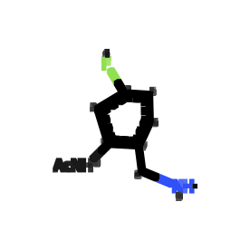 CC(=O)Nc1cc(F)ccc1C[NH]